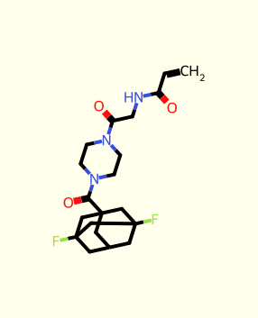 C=CC(=O)NCC(=O)N1CCN(C(=O)C23CC4CC(F)(CC(F)(C4)C2)C3)CC1